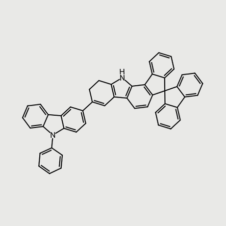 C1=C(c2ccc3c(c2)c2ccccc2n3-c2ccccc2)CCc2[nH]c3c4c(ccc3c21)C1(c2ccccc2-c2ccccc21)c1ccccc1-4